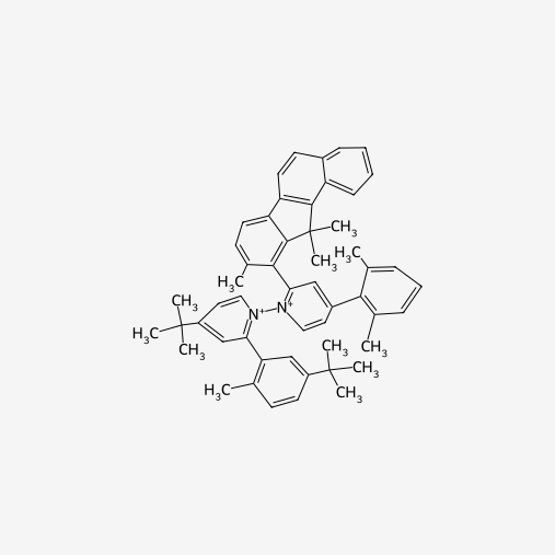 Cc1ccc(C(C)(C)C)cc1-c1cc(C(C)(C)C)cc[n+]1-[n+]1ccc(-c2c(C)cccc2C)cc1-c1c(C)ccc2c1C(C)(C)c1c-2ccc2ccccc12